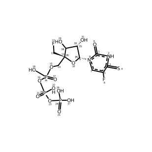 O=c1[nH]c(=S)c(F)cn1[C@@H]1O[C@](CF)(COP(=O)(O)OP(=O)(O)OP(=O)(O)O)C(O)[C@@H]1O